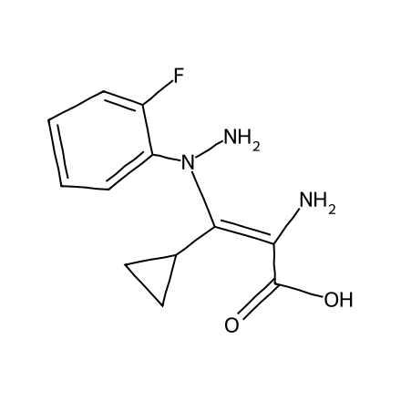 N/C(C(=O)O)=C(/C1CC1)N(N)c1ccccc1F